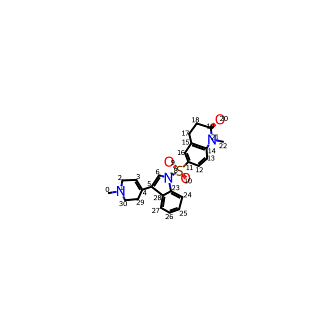 CN1CC=C(c2cn(S(=O)(=O)c3ccc4c(c3)CCC(=O)N4C)c3ccccc23)CC1